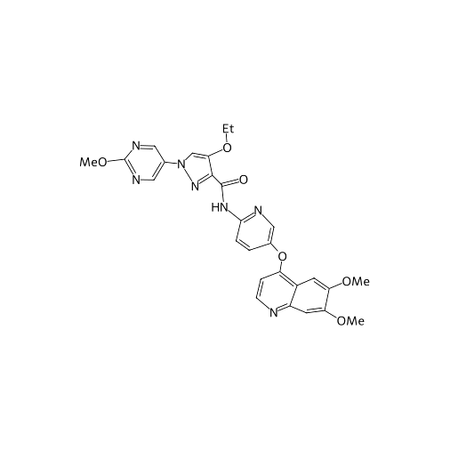 CCOc1cn(-c2cnc(OC)nc2)nc1C(=O)Nc1ccc(Oc2ccnc3cc(OC)c(OC)cc23)cn1